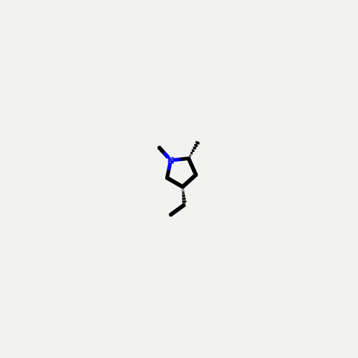 CC[C@H]1C[C@@H](C)N(C)C1